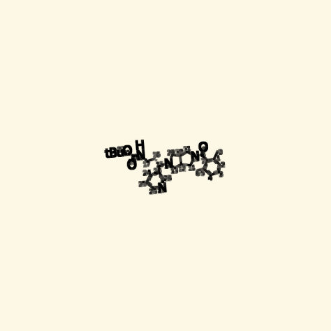 Cc1cccc(C)c1C(=O)N1CC2CN([C@@H](CCNC(=O)OC(C)(C)C)c3cccnc3)CC2C1